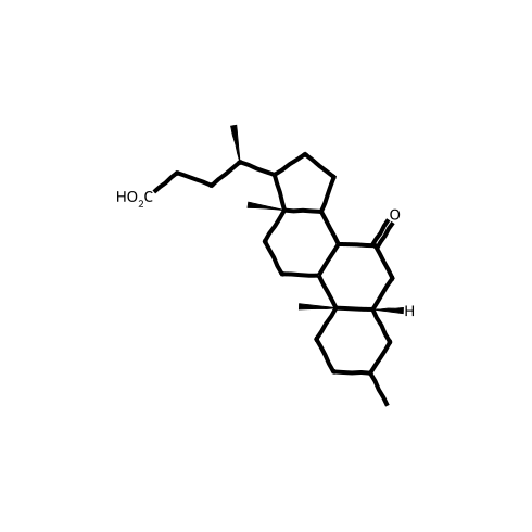 CC1CC[C@]2(C)C3CC[C@@]4(C)C(CCC4[C@H](C)CCC(=O)O)C3C(=O)C[C@@H]2C1